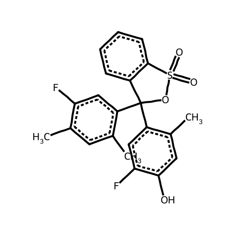 Cc1cc(C)c(C2(c3cc(F)c(O)cc3C)OS(=O)(=O)c3ccccc32)cc1F